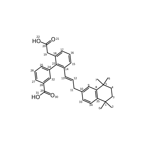 CC1(C)CCC(C)(C)c2cc(C/C=C/c3cccc(CC(=O)O)c3-c3cccc(C(=O)O)c3)ccc21